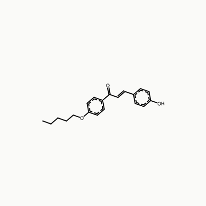 CCCCCOc1ccc(C(=O)C=Cc2ccc(O)cc2)cc1